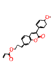 C=CC(=O)OCCCc1ccc2cc(C3=CCC(OC)C=C3)c(=O)oc2c1